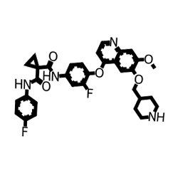 COc1cc2nccc(Oc3ccc(NC(=O)C4(C(=O)Nc5ccc(F)cc5)CC4)cc3F)c2cc1OCC1CCNCC1